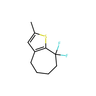 Cc1cc2c(s1)C(F)(F)CCCC2